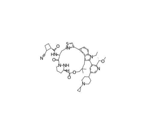 CCn1c(-c2cc(C3CCN(C4CC4)CC3)cnc2[C@H](C)OC)c2c3cc(ccc31)-c1csc(n1)C[C@H](NC(=O)[C@@H]1CCC1C#N)C(=O)N1CCC[C@H](N1)C(=O)OCC(C)(C)C2